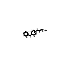 OCCCN1CCC(Cc2ccccc2)CC1